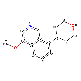 CCOc1cncc2c(C3CCOCC3)cccc12